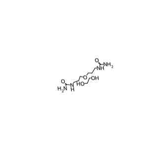 NC(=O)NCCCOCCCNC(N)=O.OCCO